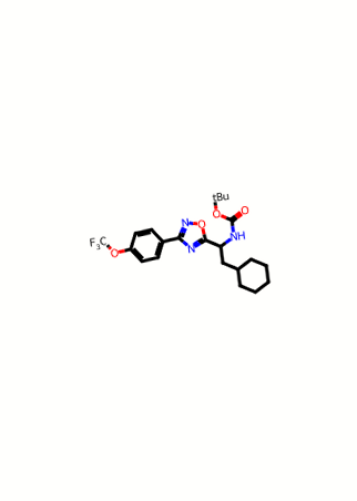 CC(C)(C)OC(=O)NC(CC1CCCCC1)c1nc(-c2ccc(OC(F)(F)F)cc2)no1